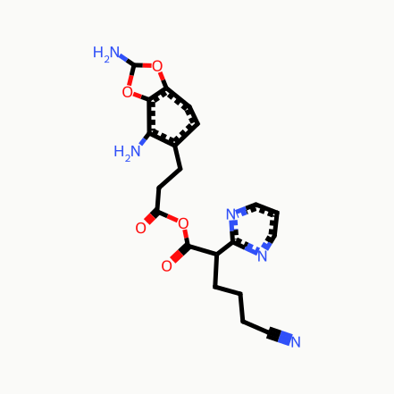 N#CCCCC(C(=O)OC(=O)CCc1ccc2c(c1N)OC(N)O2)c1ncccn1